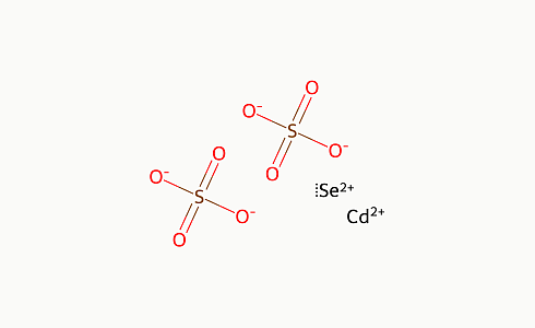 O=S(=O)([O-])[O-].O=S(=O)([O-])[O-].[Cd+2].[Se+2]